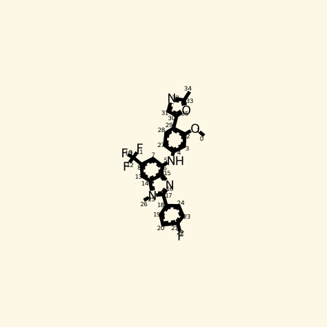 COc1cc(Nc2cc(C(F)(F)F)cc3c2nc(-c2ccc(F)cc2)n3C)ccc1-c1cnc(C)o1